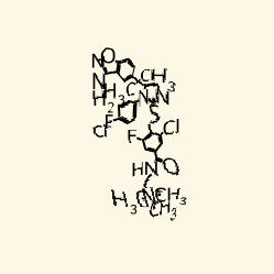 CC(C)(c1ccc2onc(N)c2c1)c1cnc(SCc2c(F)cc(C(=O)NCC[N+](C)(C)C)cc2Cl)n1-c1ccc(F)cc1.[Cl-]